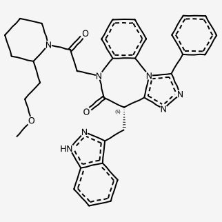 COCCC1CCCCN1C(=O)CN1C(=O)[C@@H](Cc2n[nH]c3ccccc23)c2nnc(-c3ccccc3)n2-c2ccccc21